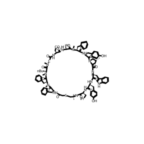 CCCC[C@H]1C(=O)N(C)CC(=O)N[C@@H](CC(=O)O)C(=O)N[C@@H](C(C)C)C(=O)N(C)[C@@H](Cc2ccccc2)C(=O)N[C@@H](Cc2ccc(O)cc2)C(=O)N2C[C@H](C)C[C@@H]2C(=O)N[C@@H](Cc2c[nH]c3ccccc23)C(=O)N[C@@H](Cc2ccc(O)cc2)C(=O)N[C@@H](CC(C)C)C(=O)N[C@H](C)CSCC(=O)N[C@@H](Cc2ccccc2)C(=O)N(C)[C@@H](Cc2ccccc2)C(=O)N1C